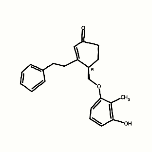 Cc1c(O)cccc1OC[C@@H]1CCC(=O)C=C1CCc1ccccc1